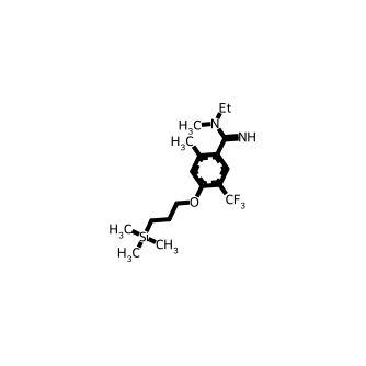 CCN(C)C(=N)c1cc(C(F)(F)F)c(OCCC[Si](C)(C)C)cc1C